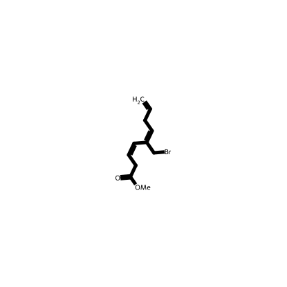 C=CC/C=C(\C=C/CC(=O)OC)CBr